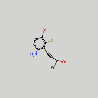 CCC(O)C#Cc1c(N)ccc(Br)c1F